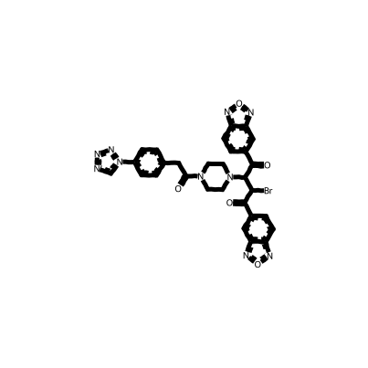 O=C(c1ccc2nonc2c1)C(Br)C(C(=O)c1ccc2nonc2c1)N1CCN(C(=O)Cc2ccc(-n3cnnn3)cc2)CC1